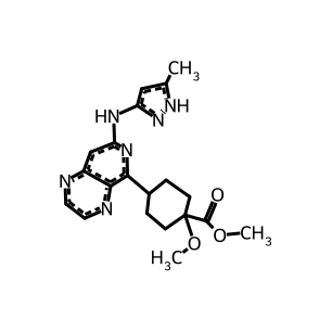 COC(=O)C1(OC)CCC(c2nc(Nc3cc(C)[nH]n3)cc3nccnc23)CC1